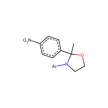 CC(=O)N1CCOC1(C)c1ccc([N+](=O)[O-])cc1